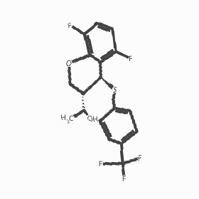 CC(O)[C@@H]1COc2c(F)ccc(F)c2[C@H]1Sc1ccc(C(F)(F)F)cc1